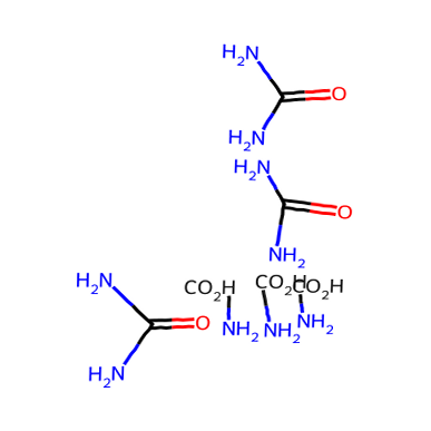 NC(=O)O.NC(=O)O.NC(=O)O.NC(N)=O.NC(N)=O.NC(N)=O